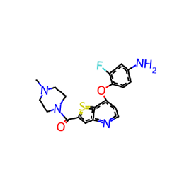 CN1CCN(C(=O)c2cc3nccc(Oc4ccc(N)cc4F)c3s2)CC1